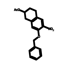 CC(=O)OC1CCc2cc([N+](=O)[O-])c(OCc3ccccc3)cc2C1